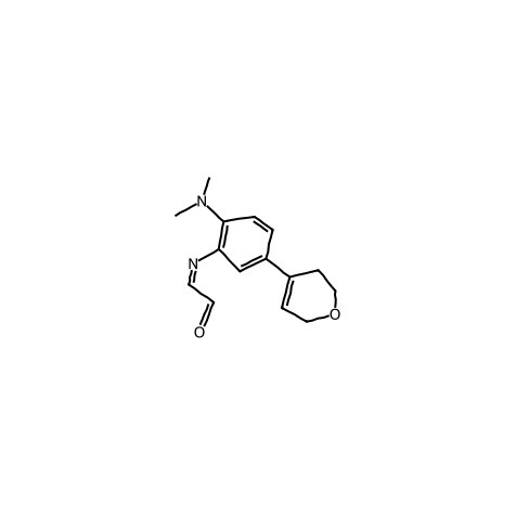 CN(C)c1ccc(C2=CCOCC2)cc1/N=C\C=O